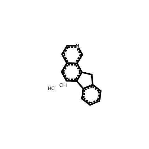 Cl.Cl.c1ccc2c(c1)Cc1c-2ccc2ccncc12